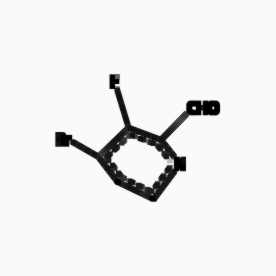 O=Cc1nccc(Br)c1F